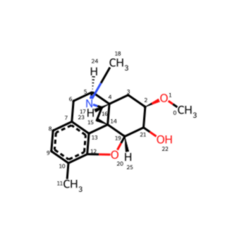 CO[C@@H]1C[C@H]2[C@@H]3Cc4ccc(C)c5c4[C@@]2(CCN3C)[C@@H](O5)C1O